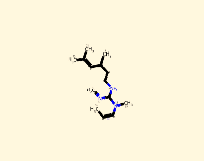 C=NC(NCCC(C)C=C(C)C)N(C)/C=C\C